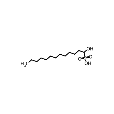 CCCCCCCCCCCCC(O)S(=O)(=O)O